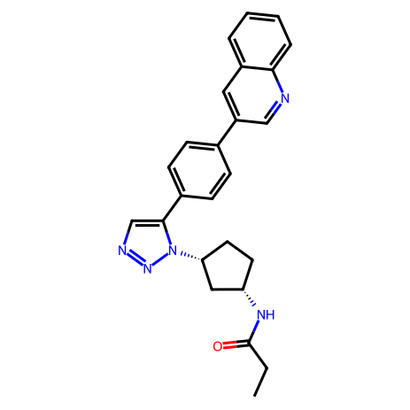 CCC(=O)N[C@H]1CC[C@@H](n2nncc2-c2ccc(-c3cnc4ccccc4c3)cc2)C1